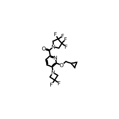 O=C(c1ccc(N2CC(F)(F)C2)c(OCC2CC2)n1)N1CC(F)(F)C(F)(F)C1